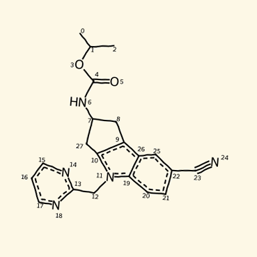 CC(C)OC(=O)NC1Cc2c(n(Cc3ncccn3)c3ccc(C#N)cc23)C1